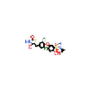 O=C1NC(=O)C(Cc2cc(Cl)c(Oc3ccc(O)c(S(=O)(=O)NC4CC4)c3)c(Cl)c2)S1